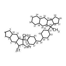 CCCC1C(CC)C2CC3CCCC3CC2C1(C)C1CCC(CC2CCC(C3(C)C4CCCC4C4CC5CCCCC5CC43)CC2)CC1